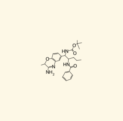 CCCC(NC(=O)c1ccccc1)C(NC(=O)OC(C)(C)C)c1ccc2c(c1)N=C(N)C(C)O2